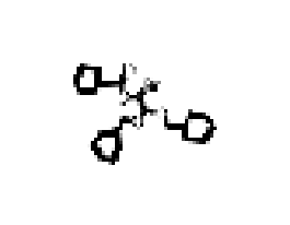 O=C(OC(Br)C(OCc1ccccc1)OCc1ccccc1)c1ccccc1